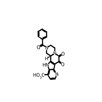 O=C1C(=O)N2CCN(C(=O)c3ccccc3)C[C@H]2c2[nH]c3c(C(=O)O)ccnc3c21